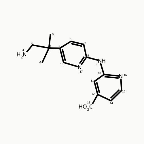 CC(C)(CN)c1ccc(Nc2cc(C(=O)O)ccn2)nc1